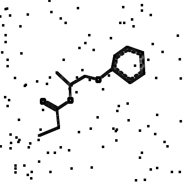 CCC(=O)OC(C)COc1ccccc1